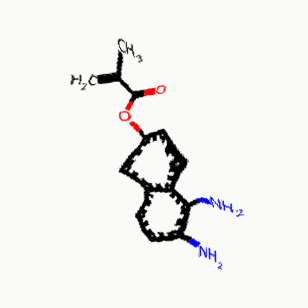 C=C(C)C(=O)Oc1ccc2c(N)c(N)ccc2c1